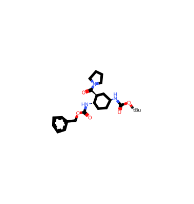 CC(C)(C)OC(=O)N[C@@H]1CC[C@H](NC(=O)OCc2ccccc2)[C@@H](C(=O)N2CCCC2)C1